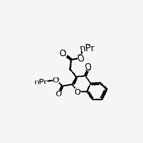 CCCOC(=O)Cc1c(C(=O)OCCC)oc2ccccc2c1=O